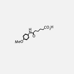 COc1ccc(NC(=O)CCCCC(=O)O)cc1